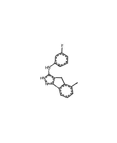 Cc1cccc2c1Cc1c-2n[nH]c1Nc1cccc(F)c1